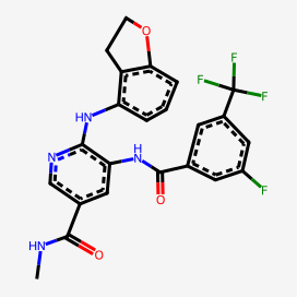 CNC(=O)c1cnc(Nc2cccc3c2CCO3)c(NC(=O)c2cc(F)cc(C(F)(F)F)c2)c1